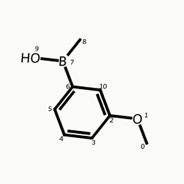 COc1cccc(B(C)O)c1